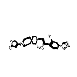 O=C1C=C(N2CCC3(CCN(C[C@@H](O)c4ccc(-n5cnnn5)cc4F)CC3)CC2)CO1